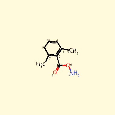 CC1=C(C(=O)ON)C(C)CC=C1